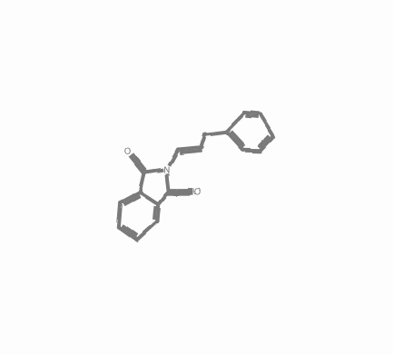 O=C1c2ccccc2C(=O)N1C=CCc1ccccc1